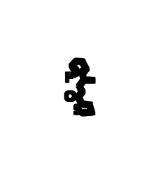 C=C(CCC(=O)c1cccs1)c1ccccc1F